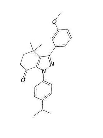 COc1cccc(-c2nn(-c3ccc(C(C)C)cc3)c3c2C(C)(C)CCC3=O)c1